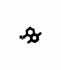 Cc1ccc(C)c2c1COCC2N